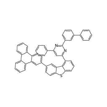 c1ccc(-c2cccc(-c3nc(-c4ccccc4)cc(-c4cccc5sc6ccc(-c7ccc8c9ccccc9c9ccccc9c8c7)cc6c45)n3)c2)cc1